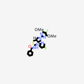 COc1nc(N2C[C@H]3CSC(NC(=O)c4ccccc4)=N[C@@]3(c3ccc(F)cn3)C2)nc(OC)c1F